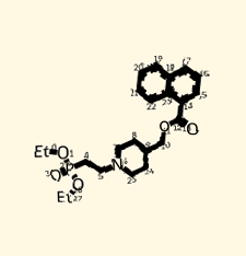 CCOP(=O)(CCN1CCC(COC(=O)c2cccc3ccccc23)CC1)OCC